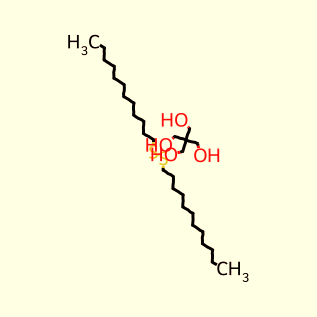 CCCCCCCCCCCCSSCCCCCCCCCCCC.OCC(CO)(CO)CO